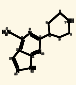 Nc1nc(C2CCNCC2)nc2[nH]ncc12